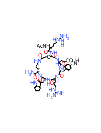 CC(=O)N[C@@H](CCCNC(=N)N)C(=O)N[C@H]1CCC(=O)NCCCC(C(N)=O)NC(=O)[C@H](Cc2c[nH]c3ccccc23)NC(=O)[C@H](CCCNC(=N)N)NC(=O)[C@@H](Cc2ccc(C#N)cc2)NC(=O)[C@H](CCC(=O)O)NC1=O